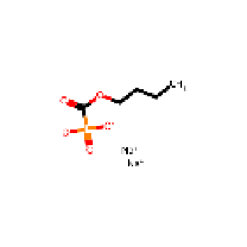 CCCCOC(=O)P(=O)([O-])[O-].[Na+].[Na+]